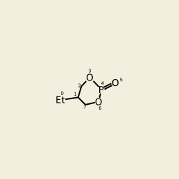 CCC1CO[P](=O)OC1